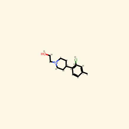 Cc1ccc(C2CCN(CCO)CC2)c(Cl)c1